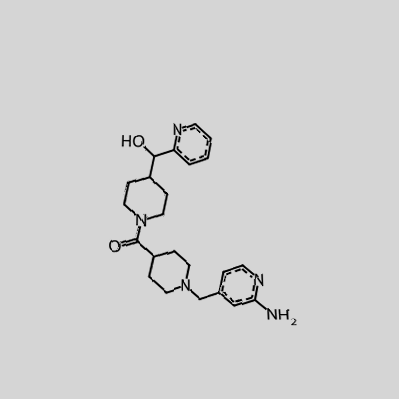 Nc1cc(CN2CCC(C(=O)N3CCC(C(O)c4ccccn4)CC3)CC2)ccn1